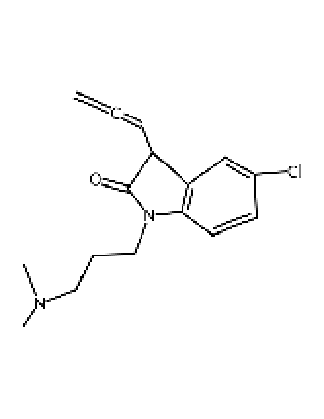 C=C=CC1C(=O)N(CCCN(C)C)c2ccc(Cl)cc21